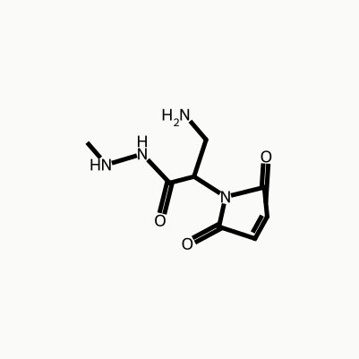 CNNC(=O)C(CN)N1C(=O)C=CC1=O